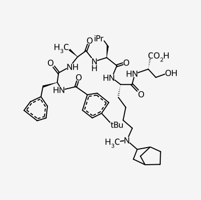 CC(C)C[C@H](NC(=O)[C@H](C)NC(=O)[C@H](Cc1ccccc1)NC(=O)c1ccc(C(C)(C)C)cc1)C(=O)N[C@@H](CCCCN(C)C1CC2CCC1C2)C(=O)N[C@@H](CO)C(=O)O